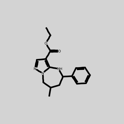 CCOC(=O)c1cnn2c1NC(c1ccccc1)CC(C)C2